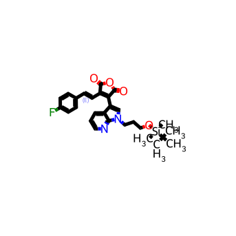 CC(C)(C)[Si](C)(C)OCCCn1cc(C2=C(/C=C/c3ccc(F)cc3)C(=O)OC2=O)c2cccnc21